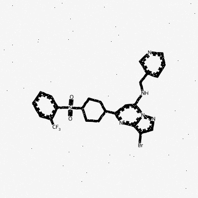 O=S(=O)(c1ccccc1C(F)(F)F)C1CCC(c2cc(NCc3cccnc3)n3ncc(Br)c3n2)CC1